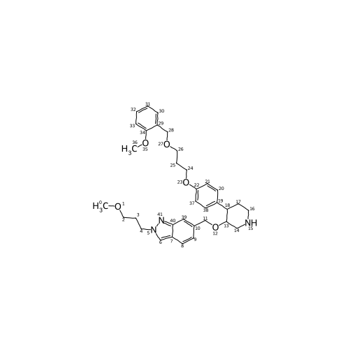 COCCCn1cc2ccc(COC3CNCCC3c3ccc(OCCCOCc4ccccc4OC)cc3)cc2n1